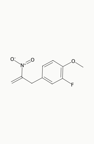 C=C(Cc1ccc(OC)c(F)c1)[N+](=O)[O-]